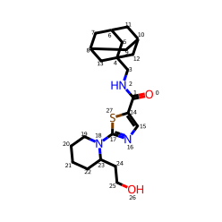 O=C(NCC12CC3CC(CC(C3)C1)C2)c1cnc(N2CCCCC2CCO)s1